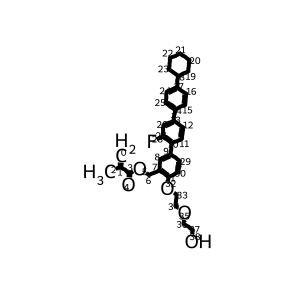 C=C(C)C(=O)OCc1cc(-c2ccc(-c3ccc(C4CCCCC4)cc3)cc2F)ccc1OCCOCCO